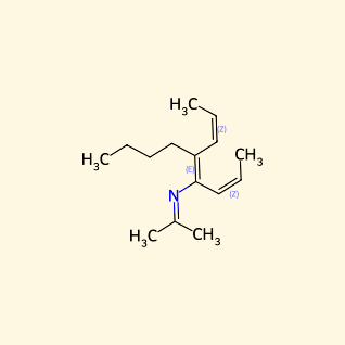 C\C=C/C(CCCC)=C(\C=C/C)N=C(C)C